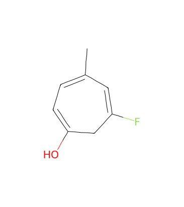 CC1=CC=C(O)CC(F)=C1